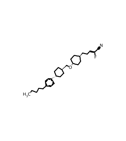 CCCCCc1ccc([C@H]2CC[C@H](CO[C@H]3CC[C@H](CC/C=C(\F)C#N)CC3)CC2)cc1